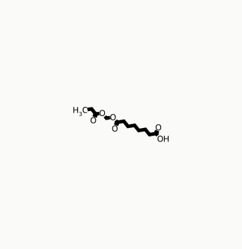 CCC(=O)OCOC(=O)CCCCCCC(=O)O